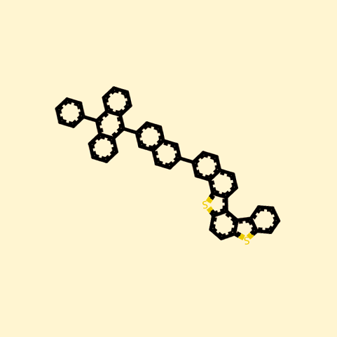 c1ccc(-c2c3ccccc3c(-c3ccc4cc(-c5ccc6ccc7c(sc8ccc9sc%10ccccc%10c9c87)c6c5)ccc4c3)c3ccccc23)cc1